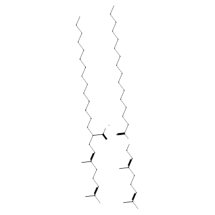 CCCCCCCCCCCCCCC(C/C=C(\C)CCC=C(C)C)C(=O)O.CCCCCCCCCCCCCCCC(=O)OC/C=C(\C)CCC=C(C)C